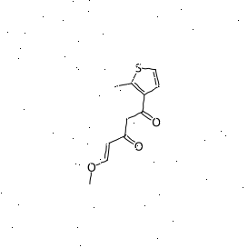 COC=CC(=O)CC(=O)c1ccsc1C